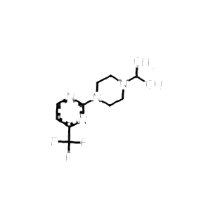 CC(C)N1CCN(c2nccc(C(F)(F)F)n2)CC1